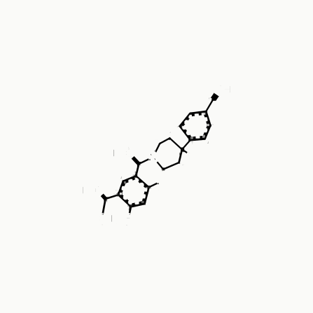 C#Cc1ccc(C2(C)CCN(C(=C)c3cc(C(=C)C)c(F)cc3CC)CC2)cc1